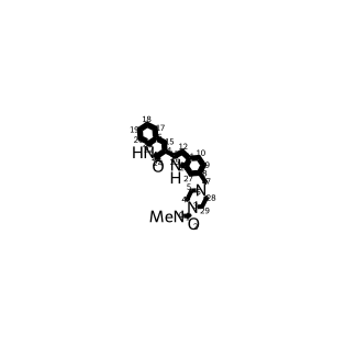 CNC(=O)N1CCN(Cc2ccc3cc(-c4cc5ccccc5[nH]c4=O)[nH]c3c2)CC1